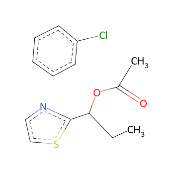 CCC(OC(C)=O)c1nccs1.Clc1ccccc1